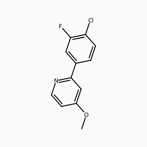 COc1ccnc(-c2ccc(Cl)c(F)c2)c1